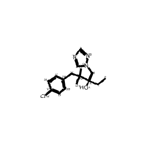 CC[C@@](O)(Cn1cncn1)C(C)(C)Cc1ccc(Cl)cc1